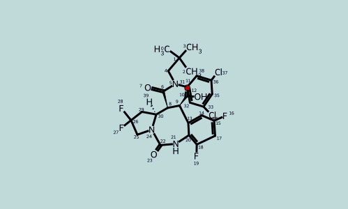 CC(C)(C)CN(C(=O)[C@H]1[C@@H](C(=O)O)c2cc(F)cc(F)c2NC(=O)N2CC(F)(F)C[C@@H]12)c1cc(Cl)cc(Cl)c1